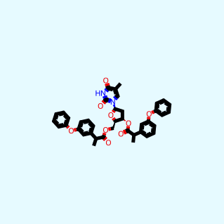 Cc1cn([C@H]2C[C@H](OC(=O)C(C)c3cccc(Oc4ccccc4)c3)[C@@H](COC(=O)C(C)c3cccc(Oc4ccccc4)c3)O2)c(=O)[nH]c1=O